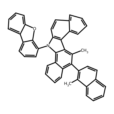 Cc1c(-c2c(C)c3c4c5ccccc5ccc4n(-c4cccc5c4oc4ccccc45)c3c3ccccc23)ccc2ccccc12